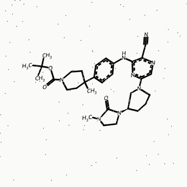 CN1CCN([C@@H]2CCCN(c3cnc(C#N)c(Nc4ccc(C5(C)CCN(C(=O)OC(C)(C)C)CC5)cc4)n3)C2)C1=O